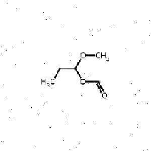 CCC(OC)O[C]=O